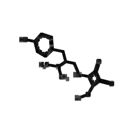 CCOc1c(NCC(Cc2ccc(O)cc2)N(C)C)c(=O)c1=O